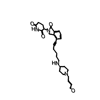 O=C/C=C/CN1CCC(NCCCCC#Cc2cccc3c2CN(C2CCC(=O)NC2=O)C3=O)CC1